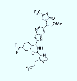 COC[C@H](c1cnn2cc([C@H](NC(=O)c3nonc3CCC(F)(F)F)C3CCC(=C(F)F)CC3)nc2c1)N1CC(C(F)(F)F)=NC1=O